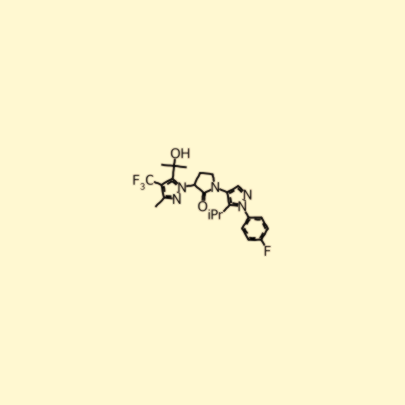 Cc1nn(C2CCN(c3cnn(-c4ccc(F)cc4)c3C(C)C)C2=O)c(C(C)(C)O)c1C(F)(F)F